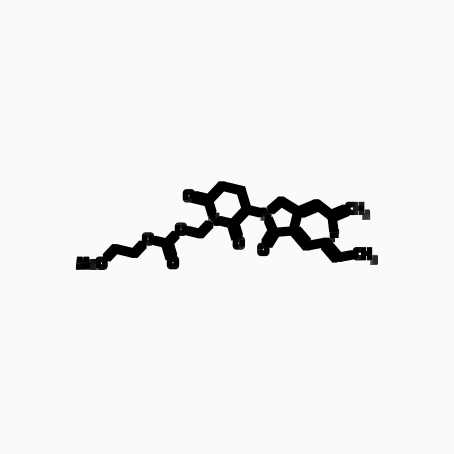 C=C(F)/C=C1/CN(C2CCC(=O)N(COC(=O)OCCOC)C2=O)C(=O)/C1=C/C=C/C